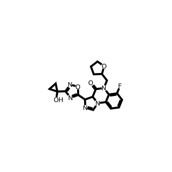 O=C1C2C(c3nc(C4(O)CC4)no3)N=CN2c2cccc(F)c2N1CC1CCCO1